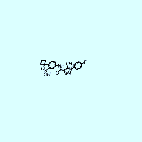 Cc1c(C(=O)Nc2ccc3c(c2)B(O)OC32CCC2)nnn1-c1ccc(F)cc1